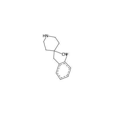 N#CC1(Cc2ccccc2F)CCNCC1